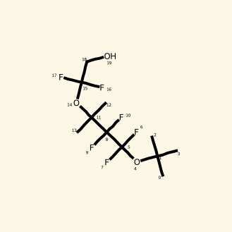 CC(C)(C)OC(F)(F)C(F)(F)C(C)(C)OC(F)(F)CO